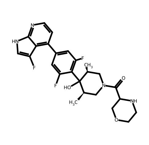 C[C@@H]1CN(C(=O)C2COCCN2)C[C@H](C)C1(O)c1c(F)cc(-c2ccnc3[nH]cc(F)c23)cc1F